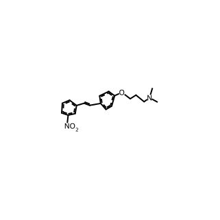 CN(C)CCCOc1ccc(/C=C/c2cccc([N+](=O)[O-])c2)cc1